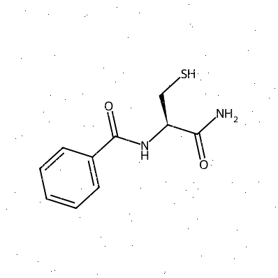 NC(=O)[C@H](CS)NC(=O)c1ccccc1